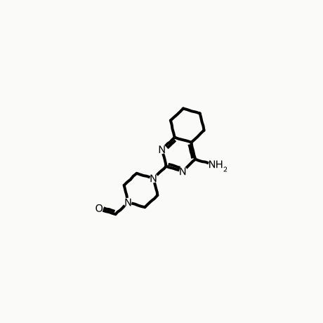 Nc1nc(N2CCN(C=O)CC2)nc2c1CCCC2